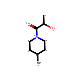 CC(=O)C1CCN(C(=O)C(C)O)CC1